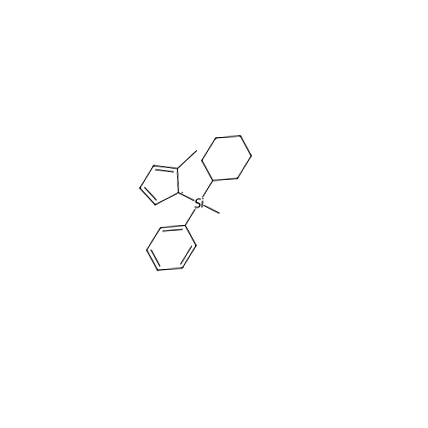 CC1=CC=C[C]1[Si](C)(c1ccccc1)C1CCCCC1